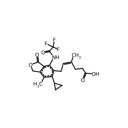 CC(=CCc1c(NC(=O)C(F)(F)F)c2c(c(C)c1C1CC1)COC2=O)CCC(=O)O